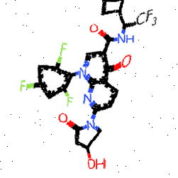 O=C(NC(C1CCC1)C(F)(F)F)c1cn(-c2c(F)cc(F)cc2F)c2nc(N3CC(O)CC3=O)ccc2c1=O